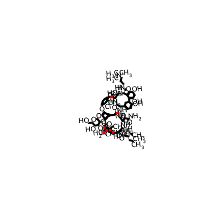 CN[C@H](CC(C)C)C(=O)N[C@H]1C(=O)N[C@@H](CC(N)=O)C(=O)N[C@H]2C(=O)NC3C(=O)N[C@H](C(O)N[C@H](C(=O)NCCC[N+](C)(C)C)C4=CC(O)CC(O)=C4C4CC3=CC=C4O)[C@H](O)C3=CC=C(Oc4cc2cc(c4O[C@H]2OC(CO)C(O)[C@H](O)C2O[C@H]2CC(C)(N)[C@H](O)C(C)O2)OC2=C(Cl)C=C(CC2)[C@H]1O)C(Cl)C3C